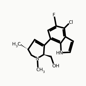 C[C@@H]1C=C(c2cc(F)c(Cl)c3cc[nH]c23)[C@@H](CO)N(C)C1